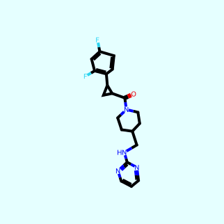 O=C(C1CC1c1ccc(F)cc1F)N1CCC(CNc2ncccn2)CC1